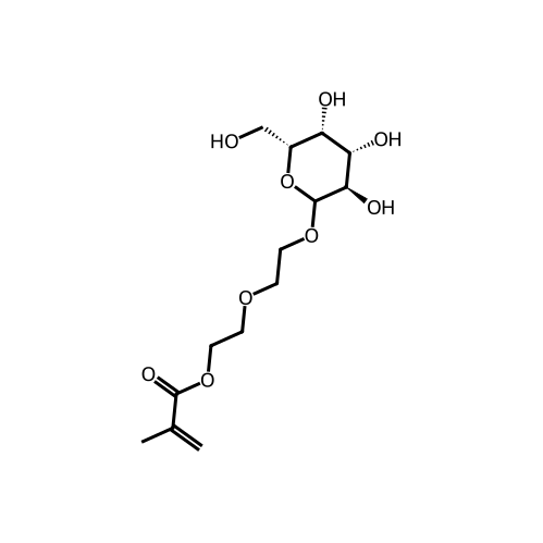 C=C(C)C(=O)OCCOCCOC1O[C@H](CO)[C@H](O)[C@H](O)[C@H]1O